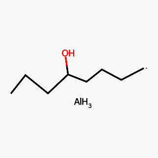 [AlH3].[CH2]CCCC(O)CCC